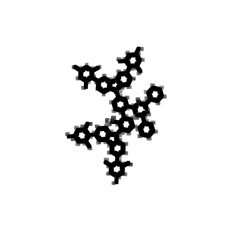 Cc1cc(C)c(-c2ccc3c(c2)c2cc(-c4c(C)cc(C)cc4C)ccc2n3-c2ccc(-c3cccc(-n4c5ccc(-c6c(C)cc(C)cc6C)cc5c5cc(-c6c(C)cc(C)cc6C)ccc54)c3C(F)(F)F)c(-c3nc(-c4ccccc4)nc(-c4ccccc4)n3)c2)c(C)c1